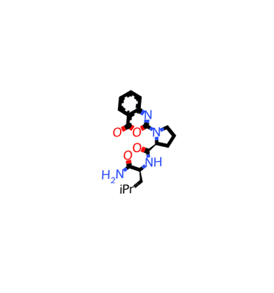 CC(C)C[C@H](NC(=O)[C@@H]1CCCN1c1nc2ccccc2c(=O)o1)C(N)=O